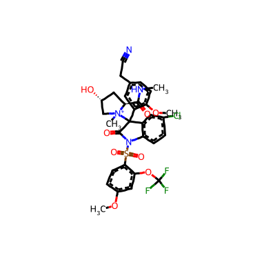 CNC(=O)[C@@H]1C[C@@H](O)C[N+]1(C)C1(c2cc(CC#N)ccc2OC)C(=O)N(S(=O)(=O)c2ccc(OC)cc2OC(F)(F)F)c2ccc(Cl)cc21